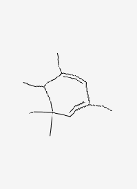 CC1=CC(C)(C)C(C)C(C)=C1